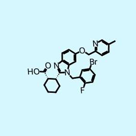 Cc1ccc(COc2ccc3nc([C@@H]4CCCC[C@@H]4C(=O)O)n(Cc4cc(Br)ccc4F)c3c2)nc1